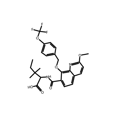 CCC(C)(C)C(NC(=O)c1ccc2ccc(OC)nc2c1OCc1ccc(OC(F)(F)F)cc1)C(=O)O